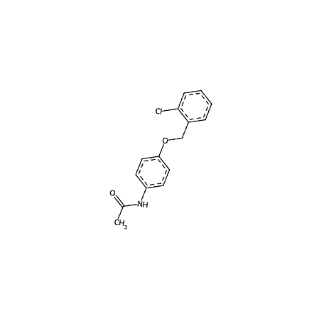 CC(=O)Nc1ccc(OCc2ccccc2Cl)cc1